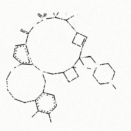 CO[C@@]1(CN2CCN(C)CC2)C2=C[C@@H](C2)[C@H](C)[C@@H](C)S(=O)(=O)NC(=O)c2ccc3c(c2)N(Cc2ccc(Cl)c(F)c2CCCCO3)C[C@@H]2CC[C@H]21